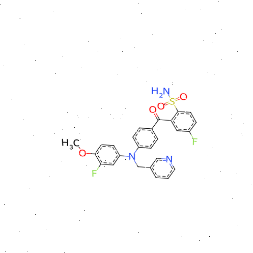 COc1ccc(N(Cc2cccnc2)c2ccc(C(=O)c3cc(F)ccc3S(N)(=O)=O)cc2)cc1F